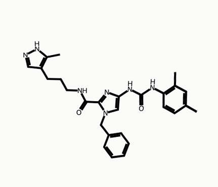 Cc1ccc(NC(=O)Nc2cn(Cc3ccccc3)c(C(=O)NCCCc3cn[nH]c3C)n2)c(C)c1